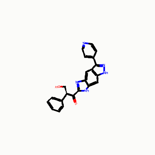 O=C(c1nc2cc3c(-c4ccncc4)n[nH]c3cc2[nH]1)[C@H](CO)c1ccccc1